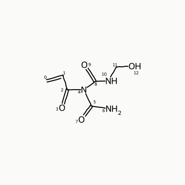 C=CC(=O)N(C(N)=O)C(=O)NCO